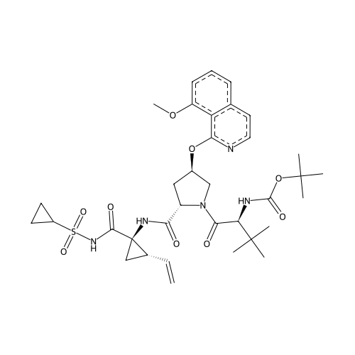 C=C[C@@H]1C[C@]1(NC(=O)[C@@H]1C[C@@H](Oc2nccc3cccc(OC)c23)CN1C(=O)[C@@H](NC(=O)OC(C)(C)C)C(C)(C)C)C(=O)NS(=O)(=O)C1CC1